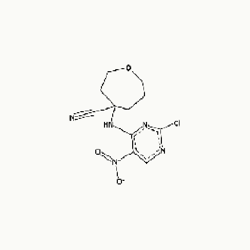 N#CC1(Nc2nc(Cl)ncc2[N+](=O)[O-])CCCOCC1